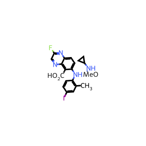 CONC1CC1.Cc1cc(I)ccc1Nc1ccc2nc(F)cnc2c1C(=O)O